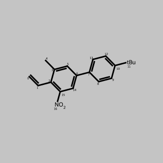 C=Cc1c(C)cc(-c2ccc(C(C)(C)C)cc2)cc1[N+](=O)[O-]